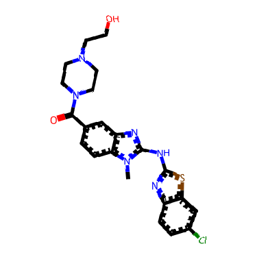 Cn1c(Nc2nc3ccc(Cl)cc3s2)nc2cc(C(=O)N3CCN(CCO)CC3)ccc21